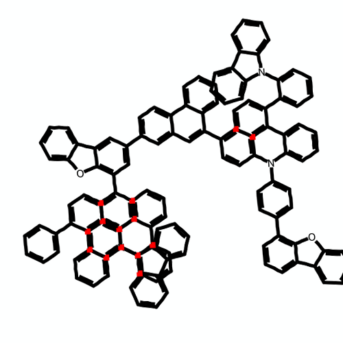 c1ccc(-c2ccccc2-c2ccccc2N(c2ccc(-c3cc(-c4ccc5c(c4)cc(-c4ccc(N(c6ccc(-c7cccc8c7oc7ccccc78)cc6)c6ccccc6-c6ccccc6-c6ccccc6-n6c7ccccc7c7ccccc76)cc4)c4ccccc45)cc4c3oc3ccccc34)cc2)c2ccccc2-c2ccccc2-c2ccccc2-n2c3ccccc3c3ccccc32)cc1